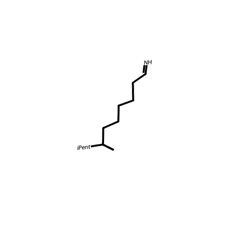 CCCC(C)C(C)CCCCCC=N